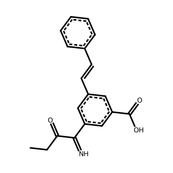 CCC(=O)C(=N)c1cc(/C=C/c2ccccc2)cc(C(=O)O)c1